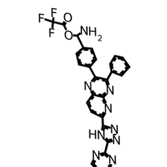 NC(OC(=O)C(F)(F)F)c1ccc(-c2nc3ccc(-c4nnc(-c5ncccn5)[nH]4)nc3nc2-c2ccccc2)cc1